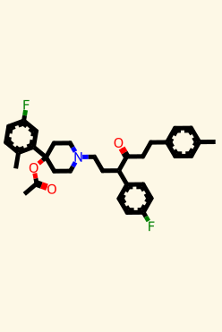 CC(=O)OC1(c2cc(F)ccc2C)CCN(CCC(C(=O)CCc2ccc(C)cc2)c2ccc(F)cc2)CC1